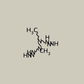 CCCCCN(CCNN=N)CCN(C)CCNN=N